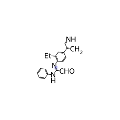 C=C(C=N)c1ccc(/N=C(\C=O)Nc2ccccc2)c(CC)c1